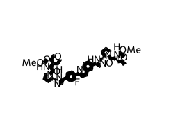 C=CC[C@H](NC(=O)OC)C(=O)N1CCC[C@H]1c1ncc(-c2ccc3nc(-c4ccc(-c5cnc([C@@H]6CCCN6C(=O)[C@@H](NC(=O)OC)C6CCOCC6)[nH]5)cc4F)ccc3c2)[nH]1